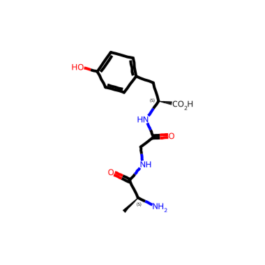 C[C@H](N)C(=O)NCC(=O)N[C@@H](Cc1ccc(O)cc1)C(=O)O